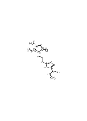 COC(=O)c1ccc(CCC[C@@H]2[C@@H](C=O)[C@H](C)C[C@H]2Cl)s1